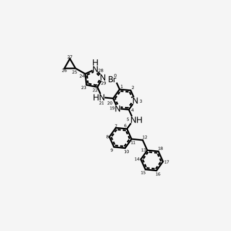 Brc1cnc(Nc2ccccc2Cc2ccccc2)nc1Nc1cc(C2CC2)[nH]n1